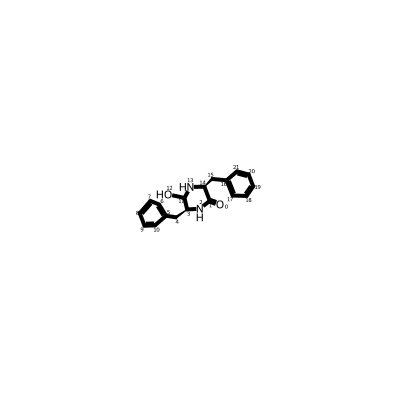 O=C1N[C@@H](Cc2ccccc2)C(O)N[C@H]1Cc1ccccc1